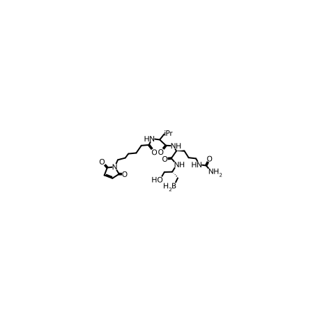 BC[C@H](CO)NC(=O)[C@H](CCCNC(N)=O)NC(=O)C(NC(=O)CCCCCN1C(=O)C=CC1=O)C(C)C